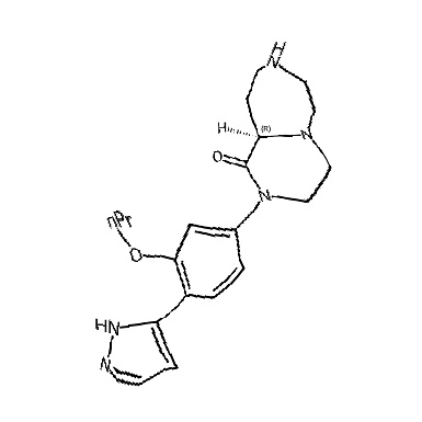 CCCOc1cc(N2CCN3CCNC[C@@H]3C2=O)ccc1-c1ccn[nH]1